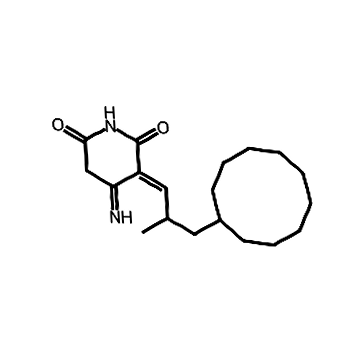 CC(/C=C1\C(=N)CC(=O)NC1=O)CC1CCCCCCCCC1